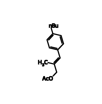 CCCCc1ccc(/C=C(\C)COC(C)=O)cc1